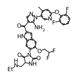 CCNCC1NC(=O)N(c2cc3[nH]c(C(=O)c4cnn(-c5cnc(Oc6c(F)cccc6F)cc5C)c4N)cc3cc2OCC(F)F)C1=O